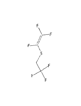 FC(F)=C(F)SCC(F)(F)F